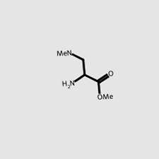 CNCC(N)C(=O)OC